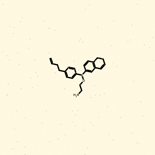 C=CCCc1ccc(B(OCCN)c2ccc3c(c2)C=CCC3)cc1